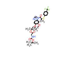 C=C(Sc1ccc(C(F)(F)F)cc1)C(=O)N(/C=C\N)c1ccc(OCC(C)(C)OC(=O)CNC(=O)OC(C)(C)C)c(OC)c1